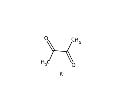 CC(=O)C(C)=O.[K]